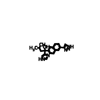 CC(C)CC(O)(c1ccc2cc(-c3c[nH]nn3)ccc2c1)c1c[nH]cn1